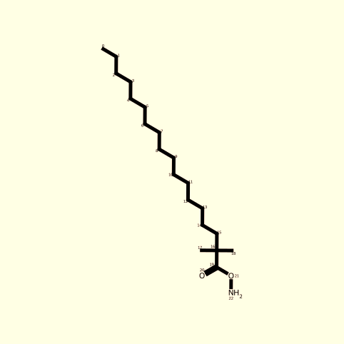 CCCCCCCCCCCCCCCCC(C)(C)C(=O)ON